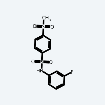 CS(=O)(=O)c1ccc(S(=O)(=O)Nc2cccc(F)c2)cc1